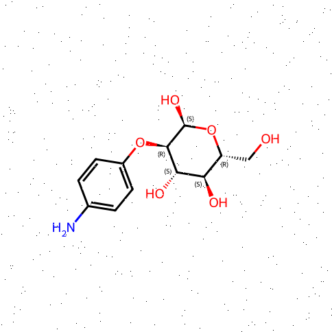 Nc1ccc(O[C@@H]2[C@@H](O)[C@H](O)[C@@H](CO)O[C@@H]2O)cc1